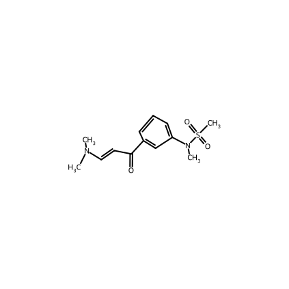 CN(C)C=CC(=O)c1cccc(N(C)S(C)(=O)=O)c1